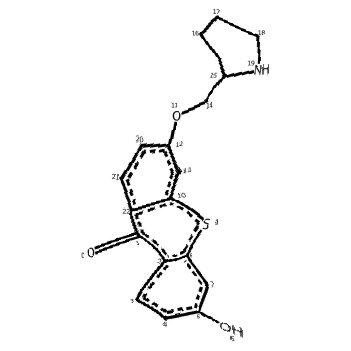 O=c1c2ccc(O)cc2sc2cc(OCC3CCCN3)ccc12